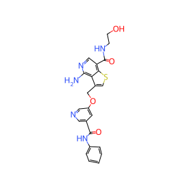 Nc1ncc(C(=O)NCCO)c2scc(COc3cncc(C(=O)Nc4ccccc4)c3)c12